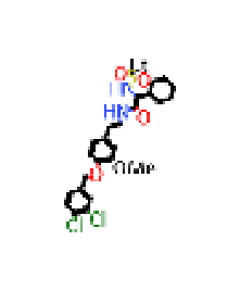 CCS(=O)(=O)NC(C(=O)NCCc1ccc(OCc2ccc(Cl)c(Cl)c2)c(OC)c1)C1CCCCC1